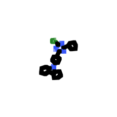 Clc1nc(-c2ccccc2)nc(-c2ccc(-n3c4ccccc4c4ccccc43)cc2)n1